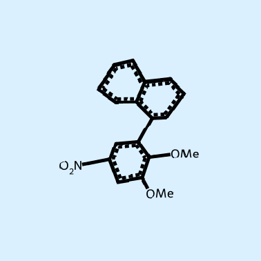 COc1cc([N+](=O)[O-])cc(-c2cccc3ccccc23)c1OC